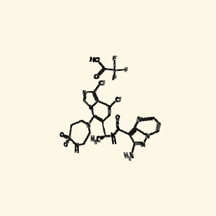 C[C@H](NC(=O)c1c(N)nn2cccnc12)c1cc(Cl)c2c(Cl)ncn2c1N1CCNS(=O)(=O)CC1.O=C(O)C(F)(F)F